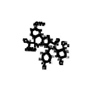 CNC(=O)Cc1ccc(OC)cc1-c1nc2c(n1C(C)C)C(c1ccc(Cl)cc1)N(c1cc(Cl)ccc1C)C2=O